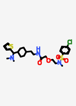 CN(C)C(c1cccs1)C1CCC(CCNC(=O)COCCN(C)S(=O)(=O)c2ccc(Cl)cc2)CC1